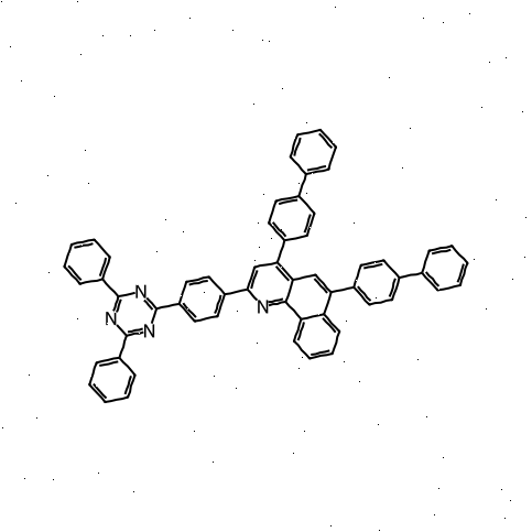 c1ccc(-c2ccc(-c3cc4c(-c5ccc(-c6ccccc6)cc5)cc(-c5ccc(-c6nc(-c7ccccc7)nc(-c7ccccc7)n6)cc5)nc4c4ccccc34)cc2)cc1